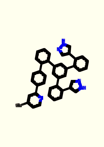 CC(C)(C)c1ccnc(-c2ccc(-c3ccccc3-c3cc(-c4ccccc4-c4cn[nH]c4)cc(-c4ccccc4-c4cn[nH]c4)c3)cc2)c1